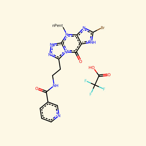 CCCCCn1c2nc(Br)[nH]c2c(=O)n2c(CCNC(=O)c3cccnc3)nnc12.O=C(O)C(F)(F)F